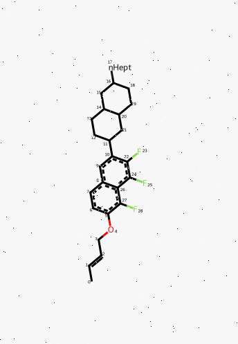 C/C=C/COc1ccc2cc(C3CCC4CC(CCCCCCC)CCC4C3)c(F)c(F)c2c1F